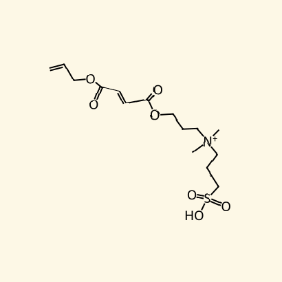 C=CCOC(=O)C=CC(=O)OCCC[N+](C)(C)CCCS(=O)(=O)O